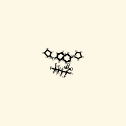 O=S(=O)([O-])C(F)(F)C(F)(F)C(F)(F)C(F)(F)F.c1cc2cc([S+]3CCCC3)ccc2cc1OC1CCCC1